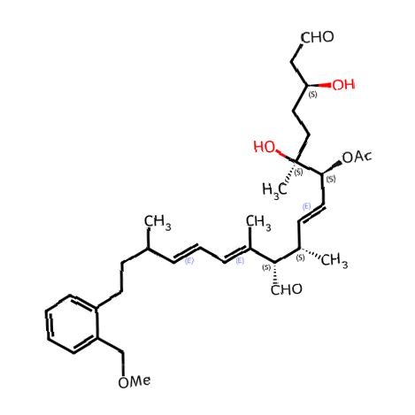 COCc1ccccc1CCC(C)/C=C/C=C(\C)[C@@H](C=O)[C@@H](C)/C=C/[C@H](OC(C)=O)[C@@](C)(O)CC[C@H](O)CC=O